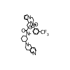 CN(C(=O)CCC1c2cccn2CCN1S(=O)(=O)c1cccc(C(F)(F)F)c1)[C@@H]1CCC[C@H](N2CCc3cnccc3C2)C1